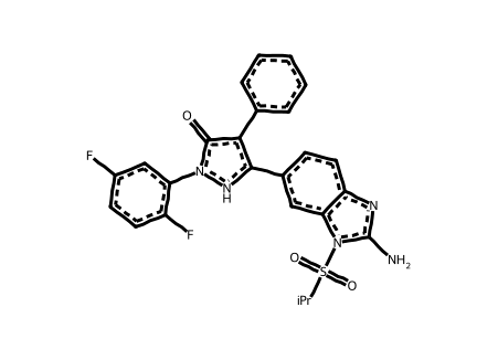 CC(C)S(=O)(=O)n1c(N)nc2ccc(-c3[nH]n(-c4cc(F)ccc4F)c(=O)c3-c3ccccc3)cc21